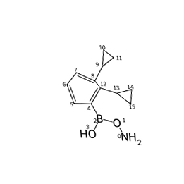 NOB(O)c1cccc(C2CC2)c1C1CC1